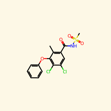 Cc1c(C(=O)NS(C)(=O)=O)cc(Cl)c(Cl)c1Oc1ccccc1